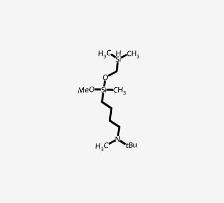 CO[Si](C)(CCCCN(C)C(C)(C)C)OC[SiH](C)C